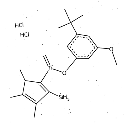 Cl.Cl.[CH2]=[Ti]([O]c1cc(OC)cc(C(C)(C)C)c1)[C]1=C([SiH3])C(C)=C(C)C1C